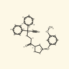 COc1cccc(O[C@H]2CCN(C(=O)CCC(C#N)(c3ccccc3)c3ccccc3)C2)c1